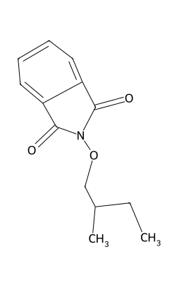 CCC(C)CON1C(=O)c2ccccc2C1=O